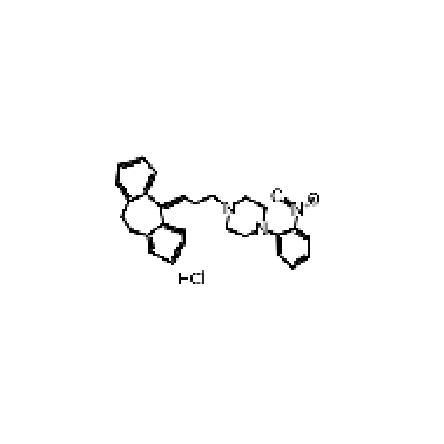 Cl.O=[N+]([O-])c1ccccc1N1CCN(CCC=C2c3ccccc3CCc3ccccc32)CC1